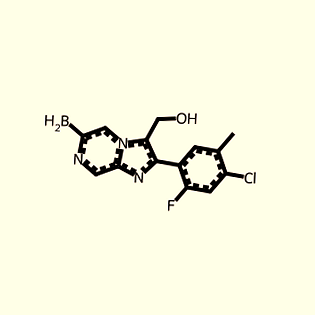 Bc1cn2c(CO)c(-c3cc(C)c(Cl)cc3F)nc2cn1